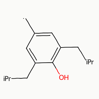 [CH2]c1cc(CC(C)C)c(O)c(CC(C)C)c1